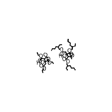 CCCCC(CC)COC(=O)CC(O)(C(=O)OCC(CC)CCCC)C(C(C)=O)C(=O)OCC(CC)CCCC.CCOC(=O)CC(O)(C(=O)OCC)C(C(C)=O)C(=O)OCC